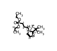 CCOP(=O)(CCCn1ccnc1C(C)(C)C)OCC